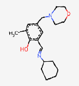 Cc1cc(CN2CCOCC2)cc(/C=N/C2CCCCC2)c1O